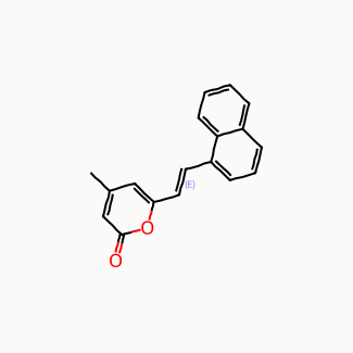 Cc1cc(/C=C/c2cccc3ccccc23)oc(=O)c1